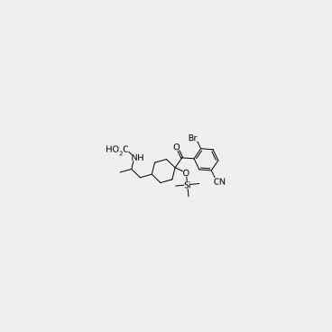 CC(CC1CCC(O[Si](C)(C)C)(C(=O)c2cc(C#N)ccc2Br)CC1)NC(=O)O